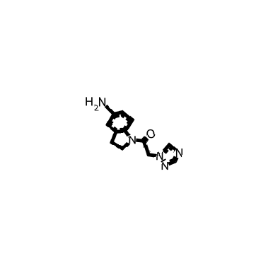 Nc1ccc2c(c1)CCN2C(=O)Cn1cncn1